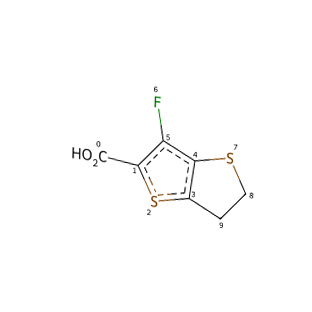 O=C(O)c1sc2c(c1F)SCC2